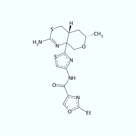 CCc1nc(C(=O)Nc2csc(C34CO[C@@H](C)C[C@H]3CSC(N)=N4)n2)co1